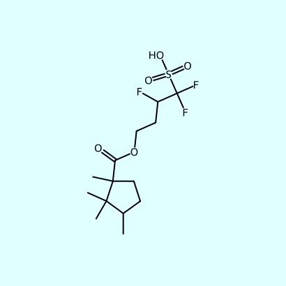 CC1CCC(C)(C(=O)OCCC(F)C(F)(F)S(=O)(=O)O)C1(C)C